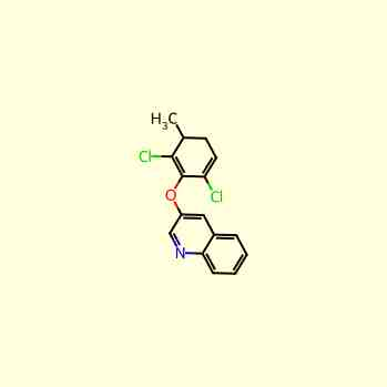 CC1CC=C(Cl)C(Oc2cnc3ccccc3c2)=C1Cl